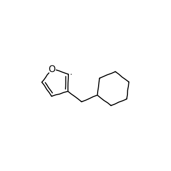 [c]1occc1CC1CCCCC1